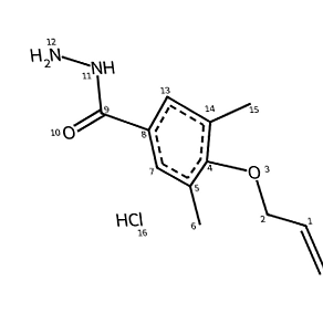 C=CCOc1c(C)cc(C(=O)NN)cc1C.Cl